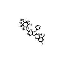 [2H]C1C([2H])([2H])C(O)C([2H])([2H])C([2H])C1([2H])Nc1ncc2nc(Nc3c(F)cc(F)cc3F)n(C3CCOC3)c2n1